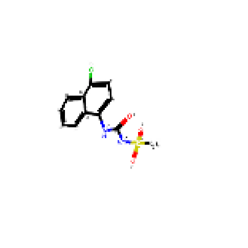 CS(=O)(=O)NC(=O)Nc1ccc(Cl)c2ccccc12